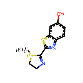 O=C(O)[SH]1CCN=C1c1nc2ccc(O)cc2s1